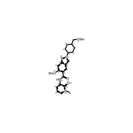 COCC1CCC(n2cc3cc(C(=O)Nc4cccn(C)c4=O)c(OC)cc3n2)CC1